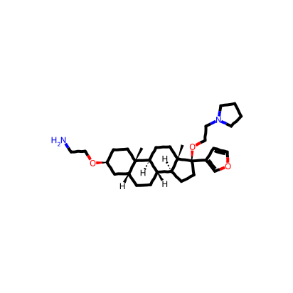 C[C@]12CC[C@H](OCCN)C[C@H]1CC[C@@H]1[C@@H]2CC[C@@]2(C)[C@H]1CC[C@@]2(OCCN1CCCC1)c1ccoc1